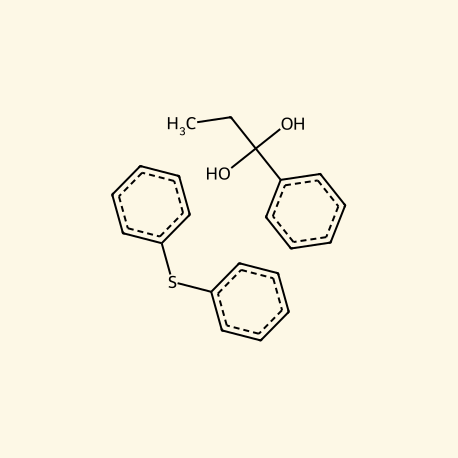 CCC(O)(O)c1ccccc1.c1ccc(Sc2ccccc2)cc1